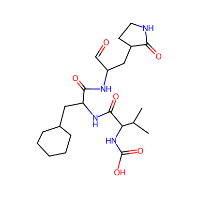 CC(C)C(NC(=O)O)C(=O)NC(CC1CCCCC1)C(=O)NC(C=O)CC1CCNC1=O